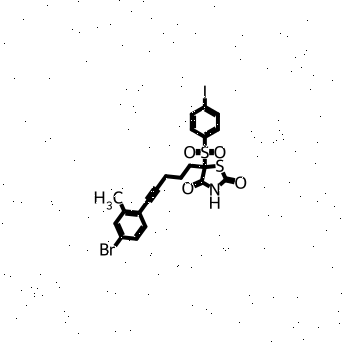 Cc1cc(Br)ccc1C#CCCCC1(S(=O)(=O)c2ccc(I)cc2)SC(=O)NC1=O